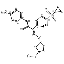 CCO[C@@H]1CC[C@@H](O/N=C(/C(=O)Nc2cnc(OC)cn2)c2ccc(S(=O)(=O)C3CC3)cc2)C1